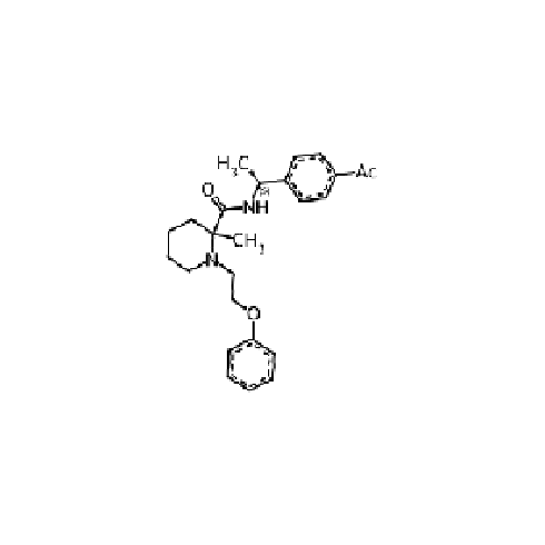 CC(=O)c1ccc([C@H](C)NC(=O)C2(C)CCCCN2CCOc2ccccc2)cc1